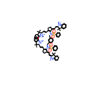 CN1/C(=C/C=C2\CCC(/C=C/C3=[N+](C)c4ccccc4C3(C)C)=C2N(Cc2cccc(CN(C3=C(/C=C/C4=[N+](C)c5ccccc5C4(C)C)CC/C3=C\C=C3\N(C)c4ccccc4C3(C)C)S(=O)(=O)c3ccccc3)c2)S(=O)(=O)c2ccccc2)C(C)(C)c2ccccc21